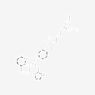 CCCN(CCC)CCCCN(Cc1ccc(CN(Cc2ncc[nH]2)C2CCCc3cccnc32)cc1)S(C)(=O)=O